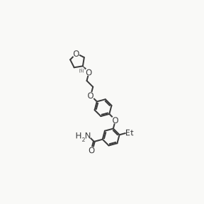 CCc1ccc(C(N)=O)cc1Oc1ccc(OCCO[C@H]2CCOC2)cc1